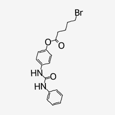 O=C(Nc1ccccc1)Nc1ccc(OC(=O)CCCCBr)cc1